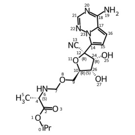 CC(C)OC(=O)[C@H](C)NCOC[C@H]1O[C@@](C#N)(c2ccc3c(N)ncnn23)[C@H](O)[C@@H]1O